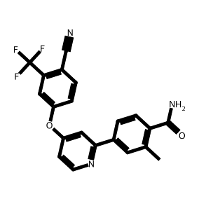 Cc1cc(-c2cc(Oc3ccc(C#N)c(C(F)(F)F)c3)ccn2)ccc1C(N)=O